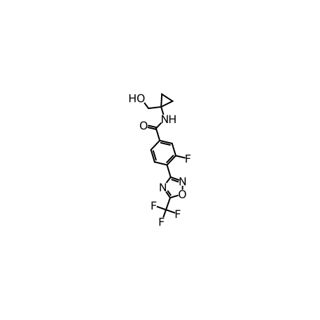 O=C(NC1(CO)CC1)c1ccc(-c2noc(C(F)(F)F)n2)c(F)c1